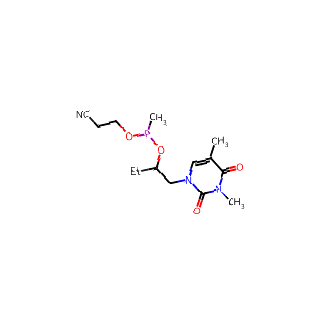 CCC(Cn1cc(C)c(=O)n(C)c1=O)OP(C)OCCC#N